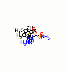 CC1CC(C)C2C(C1c1cc3c(cc1Sc1nc4c(N)ncnc4n1CCCCCS(N)(=O)=O)OCCO3)C2(C)C